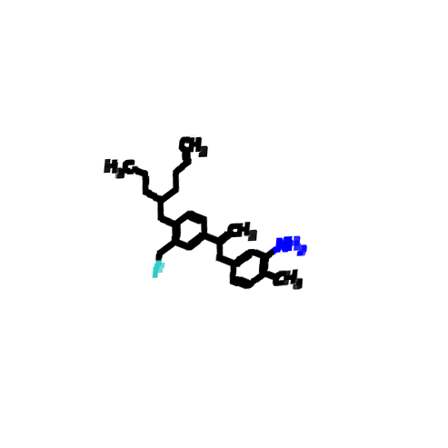 C=CCCC(CCC)Cc1ccc(C(=C)Cc2ccc(C)c(N)c2)cc1CF